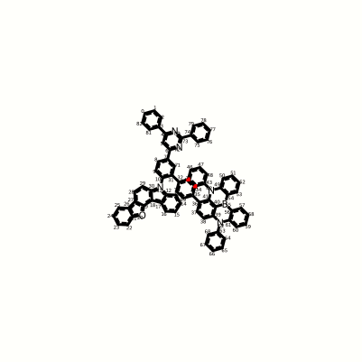 c1ccc(-c2cc(-c3ccc(-n4c5ccccc5c5c6oc7ccccc7c6ccc54)c(-c4ccc(-c5ccc6c7c5N(c5ccccc5)c5ccccc5B7c5ccccc5N6c5ccccc5)cc4)c3)nc(-c3ccccc3)n2)cc1